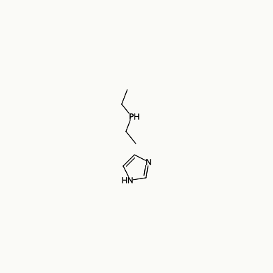 CCPCC.c1c[nH]cn1